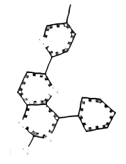 Cc1ccc(-c2ccc3nc(N)nc(-c4ccccc4)c3n2)nc1